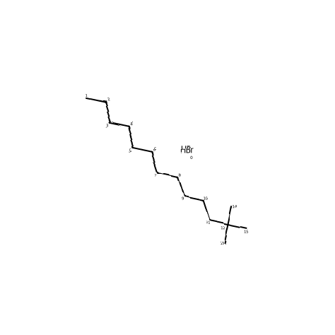 Br.CCCCCCCCCCCC(C)(C)C